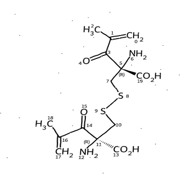 C=C(C)C(=O)[C@](N)(CSSC[C@](N)(C(=O)O)C(=O)C(=C)C)C(=O)O